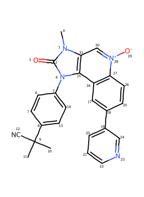 Cn1c(=O)n(-c2ccc(C(C)(C)C#N)cc2)c2c3cc(-c4cccnc4)ccc3[n+]([O-])cc21